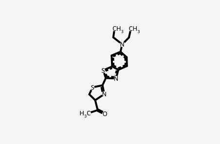 CCN(CC)c1ccc2nc(C3=NC(C(C)=O)CS3)sc2c1